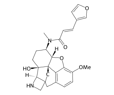 COc1ccc2c3c1O[C@H]1[C@H](N(C)C(=O)/C=C/c4ccoc4)CC[C@@]4(O)[C@@H]5NCC5(C2)C[C@]314